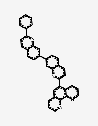 c1ccc(-c2ccc3ccc(-c4ccc5ccc(-c6cc7cccnc7c7ncccc67)nc5c4)cc3n2)cc1